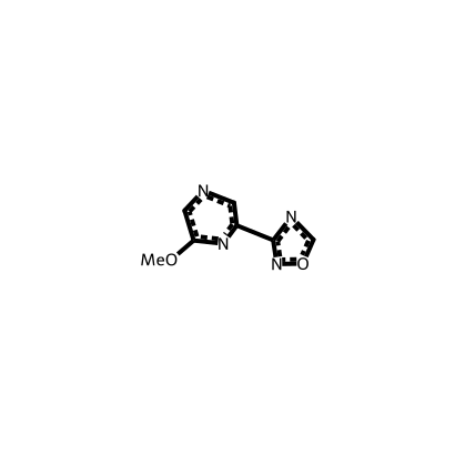 COc1cncc(-c2ncon2)n1